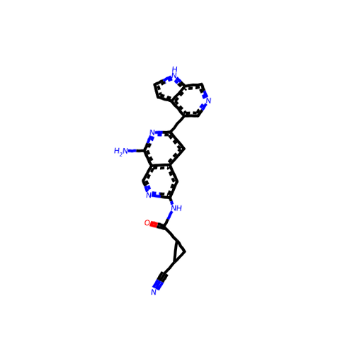 N#CC1CC1C(=O)Nc1cc2cc(-c3cncc4[nH]ccc34)nc(N)c2cn1